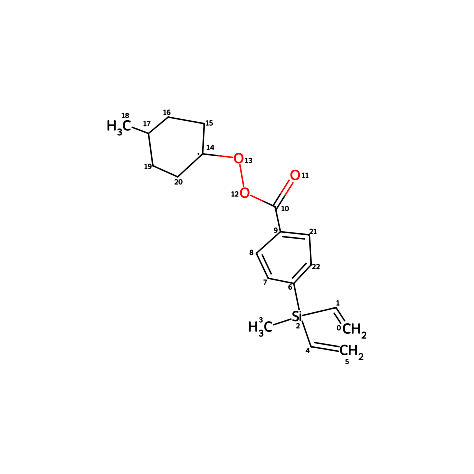 C=C[Si](C)(C=C)c1ccc(C(=O)OO[C]2CCC(C)CC2)cc1